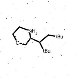 CC(C)(C)CC(C1COCC[SiH2]1)C(C)(C)C